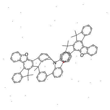 CC1(C)c2cc(N3c4ccc5c(c4)C(C)(c4cccc(c4)-c4cccc(-c6ccccc6)c43)c3c4c(c6c(oc7ccccc76)c3-5)-c3ccccc3C4(C)C)ccc2-c2c1c1c(c3c2oc2ccccc23)-c2ccccc2C1(C)C